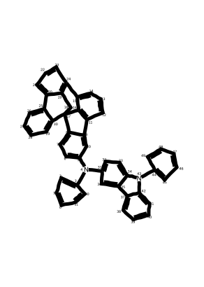 c1ccc(N(c2ccc3c(c2)-c2cccc4c2C32Cc3c(cccc3-4)-c3ccccc32)c2ccc3c(c2)c2ccccc2n3-c2ccccc2)cc1